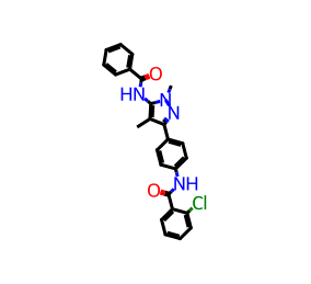 Cc1c(-c2ccc(NC(=O)c3ccccc3Cl)cc2)nn(C)c1NC(=O)c1ccccc1